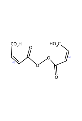 O=C(O)/C=C\C(=O)OOC(=O)/C=C\C(=O)O